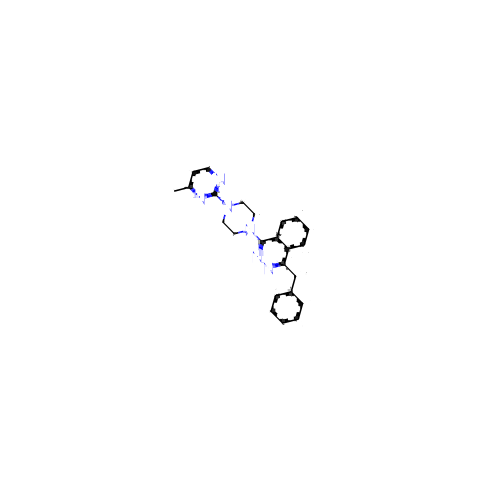 Cc1ccnc(N2CCN(c3nnc(Cc4ccccc4)c4ccccc34)CC2)n1